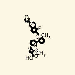 COc1c(C(=O)O)cnn1-c1cccc(-c2cccc(C)c2OCc2ccc3c(c2F)CCN([C@H]2CCOC2)C3)n1